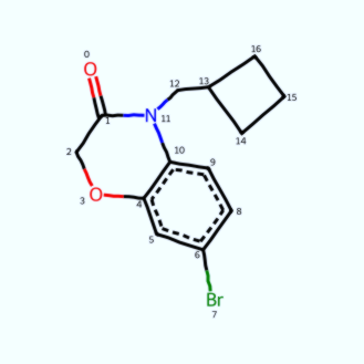 O=C1COc2cc(Br)ccc2N1CC1CCC1